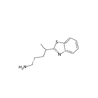 CC(CCCN)c1nc2ccccc2s1